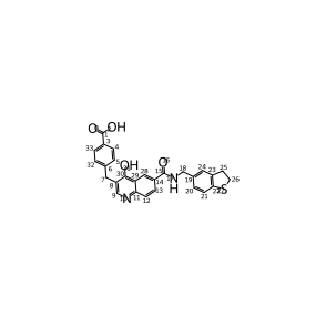 O=C(O)c1ccc(Cc2cnc3ccc(C(=O)NCc4ccc5c(c4)CCS5)cc3c2O)cc1